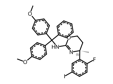 COc1ccc(C(NC2=N[C@](C)(c3cc(I)ccc3F)CCO2)(c2ccccc2)c2ccc(OC)cc2)cc1